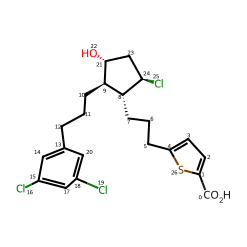 O=C(O)c1ccc(CCC[C@@H]2[C@@H](CCCc3cc(Cl)cc(Cl)c3)[C@H](O)C[C@H]2Cl)s1